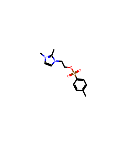 Cc1ccc(S(=O)(=O)OCCn2cc[n+](C)c2C)cc1